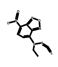 CCN(N=C=S)c1ccc([N+](=O)[O-])c2nonc12